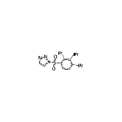 CC(C)c1ccc(S(=O)(=O)n2ccnn2)c(C(C)C)c1C(C)C